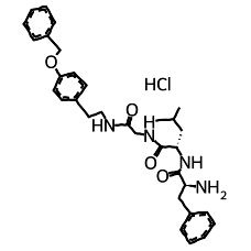 CC(C)C[C@H](NC(=O)[C@@H](N)Cc1ccccc1)C(=O)NCC(=O)NCCc1ccc(OCc2ccccc2)cc1.Cl